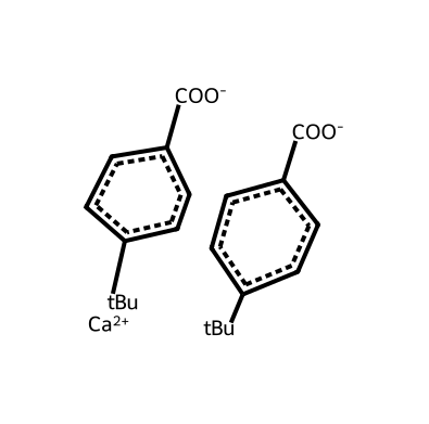 CC(C)(C)c1ccc(C(=O)[O-])cc1.CC(C)(C)c1ccc(C(=O)[O-])cc1.[Ca+2]